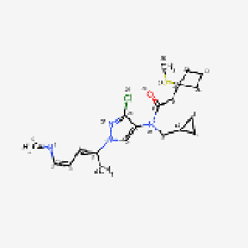 C=N/C=C\C=C(/C)n1cc(N(CC2CC2)C(=O)CC2(SC)CCC2)c(Cl)n1